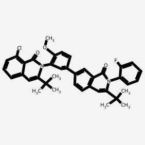 COc1ccc(-c2ccc3cc(C(C)(C)C)n(-c4ccccc4F)c(=O)c3c2)cc1-n1c(C(C)(C)C)cc2cccc(Cl)c2c1=O